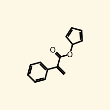 C=C(C(=O)OC1C=CC=C1)c1ccccc1